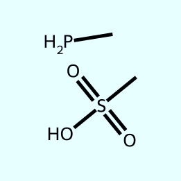 CP.CS(=O)(=O)O